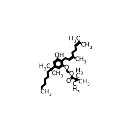 CCCCCCC(C)(C)c1cc(O)c(CC=C(C)CCC=C(C)C)c(OCOC(=O)C(C)(C)C)c1